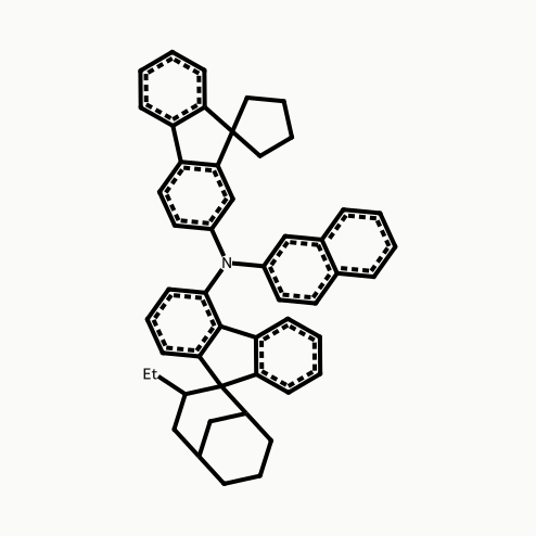 CCC1CC2CCCC(C2)C12c1ccccc1-c1c(N(c3ccc4c(c3)C3(CCCC3)c3ccccc3-4)c3ccc4ccccc4c3)cccc12